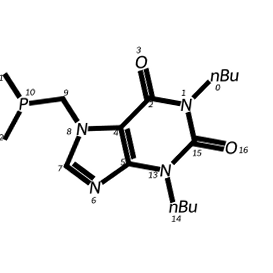 CCCCn1c(=O)c2c(ncn2CP(C)C)n(CCCC)c1=O